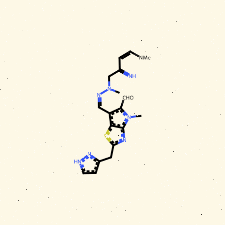 CN/C=C\C(=N)CN(C)/N=C\c1c(C=O)n(C)c2nc(Cc3cc[nH]n3)sc12